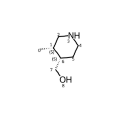 C[C@@H]1CNCC[C@@H]1CO